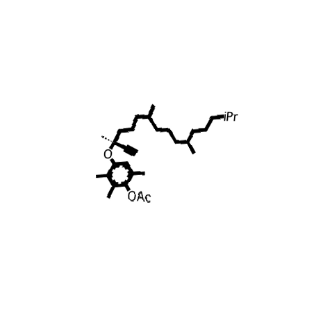 C#C[C@](C)(CCCC(C)CCCC(C)CCCC(C)C)Oc1cc(C)c(OC(C)=O)c(C)c1C